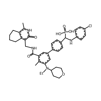 CCN(c1cc(-c2ccc(C(Nc3ccc(Cl)cc3)P(=O)(O)O)cc2)cc(C(=O)NCc2c3c(c(C)[nH]c2=O)CCCC3)c1C)C1CCOCC1